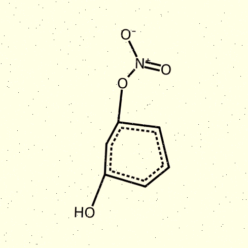 O=[N+]([O-])Oc1cccc(O)c1